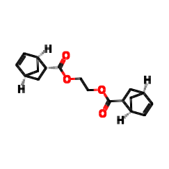 O=C(OCCOC(=O)[C@@H]1C[C@H]2C=C[C@@H]1C2)C1C[C@H]2C=C[C@@H]1C2